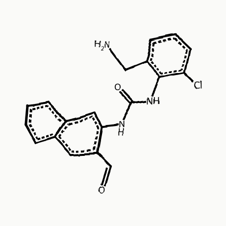 NCc1cccc(Cl)c1NC(=O)Nc1cc2ccccc2cc1C=O